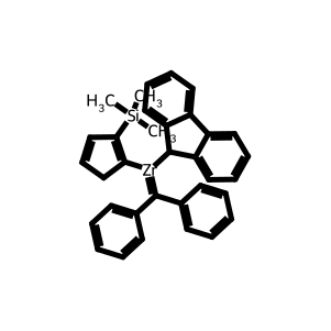 C[Si](C)(C)C1=[C]([Zr](=[C](c2ccccc2)c2ccccc2)[CH]2c3ccccc3-c3ccccc32)CC=C1